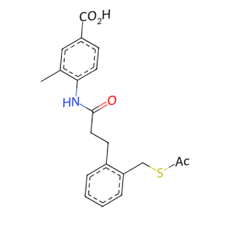 CC(=O)SCc1ccccc1CCC(=O)Nc1ccc(C(=O)O)cc1C